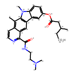 Cc1c2ccnc(C(=O)NCCN(C)C)c2cc2c3cc(OC(=O)CC(C)CC(=O)O)ccc3n(C)c12